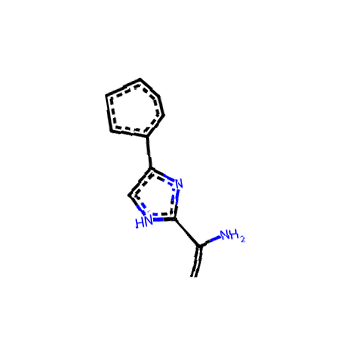 C=C(N)c1nc(-c2ccccc2)c[nH]1